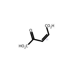 O=C(O)/C=C\C(=O)C(=O)O